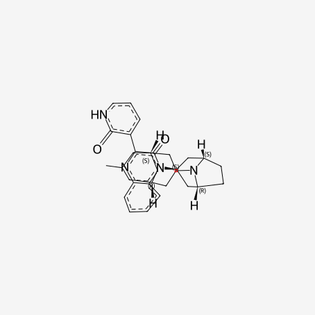 CC1C[C@@H]2CC(N3[C@@H]4CC[C@H]3C[C@H](n3c(=O)c(-c5ccc[nH]c5=O)nc5ccccc53)C4)C[C@H](C1)C2